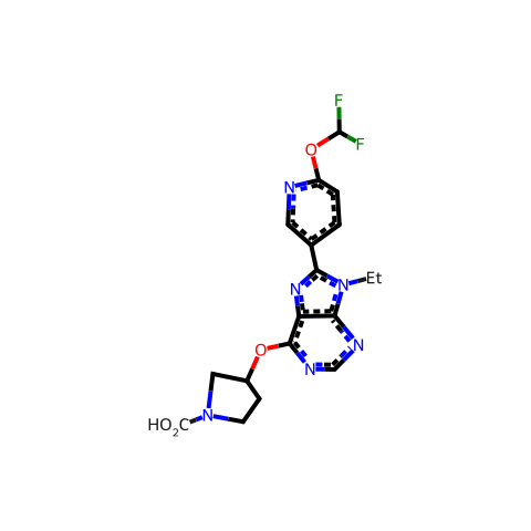 CCn1c(-c2ccc(OC(F)F)nc2)nc2c(OC3CCN(C(=O)O)C3)ncnc21